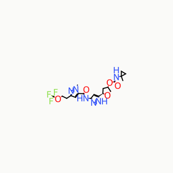 Cn1nc(CCOC(F)(F)F)cc1C(=O)Nc1cc([C@H]2C[C@@H](OC(=O)NC3(C)CC3)CO2)[nH]n1